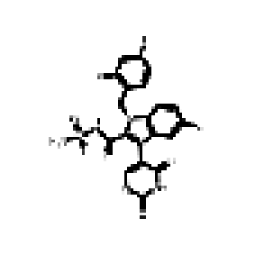 NS(=O)(=O)NC(=O)c1c(-c2c[nH]c(=O)[nH]c2=O)c2cc(Cl)ccc2n1Cc1ccc(F)cc1F